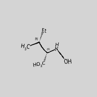 CC[C@@H](C)[C@H](NO)C(=O)O